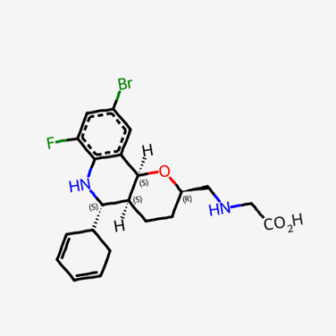 O=C(O)CNC[C@H]1CC[C@@H]2[C@H](O1)c1cc(Br)cc(F)c1N[C@H]2C1C=CC=CC1